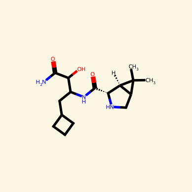 CC1(C)C2CN[C@H](C(=O)NC(CC3CCC3)C(O)C(N)=O)[C@H]21